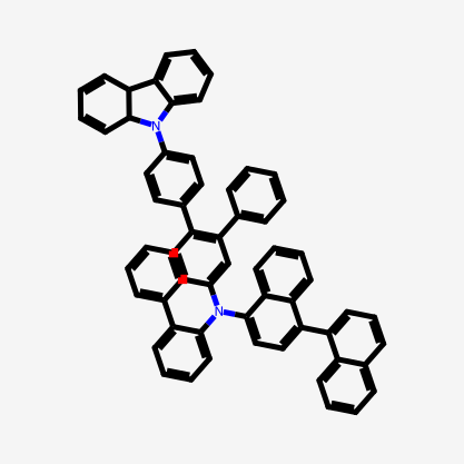 C1=CC2c3ccccc3N(c3ccc(-c4ccc(N(c5ccccc5-c5ccccc5)c5ccc(-c6cccc7ccccc67)c6ccccc56)cc4-c4ccccc4)cc3)C2C=C1